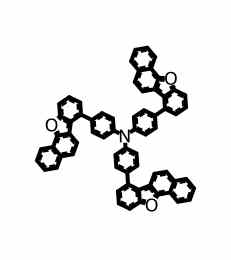 c1ccc2c(c1)ccc1c2oc2cccc(-c3ccc(N(c4ccc(-c5cccc6oc7c8ccccc8ccc7c56)cc4)c4ccc(-c5cccc6oc7c8ccccc8ccc7c56)cc4)cc3)c21